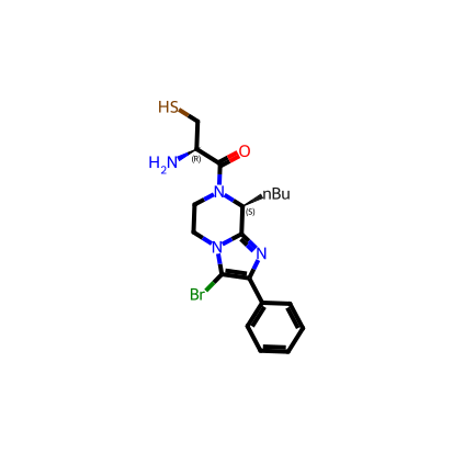 CCCC[C@H]1c2nc(-c3ccccc3)c(Br)n2CCN1C(=O)[C@@H](N)CS